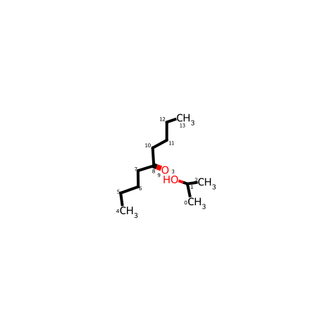 CC(C)O.CCCCC(=O)CCCC